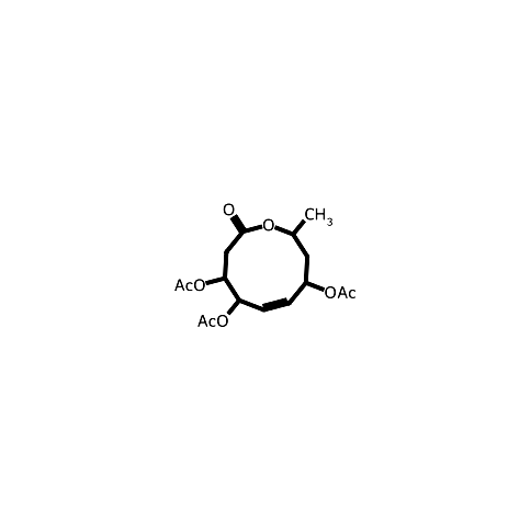 CC(=O)OC1C=CC(OC(C)=O)C(OC(C)=O)CC(=O)OC(C)C1